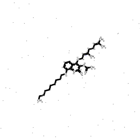 CCCCCCCCCCOc1cccc2c(OC/C=C(\C)CCC=C(C)C)c(OC(C)=O)c(=O)oc12